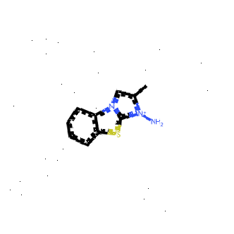 Cc1cn2c3ccccc3sc2[n+]1N